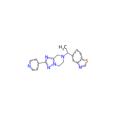 CC(c1ccc2scnc2c1)N1CCn2nc(-c3ccncc3)nc2C1